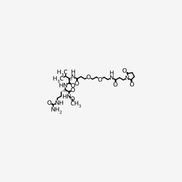 CONC(=O)[C@H](CCCNC(N)=O)NC(=O)[C@@H](NC(=O)CCOCCOCCNC(=O)CCN1C(=O)CCC1=O)C(C)C